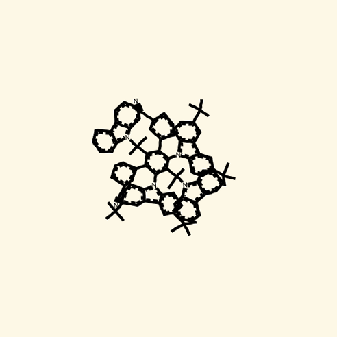 CC(C)(C)c1ccc2c(c1)c1cc(C(C)(C)C)ccc1n2-c1c(-c2cccc(C#N)c2)c(C(C)(C)n2c3ccccc3c3ccccc32)c(-c2cccc(C#N)c2)c(-n2c3ccc(C(C)(C)C)cc3c3cc(C(C)(C)C)ccc32)c1C(C)(C)n1c2ccccc2c2ccccc21